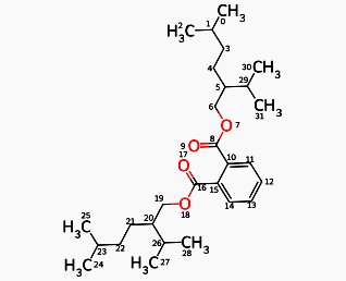 CC(C)CCC(COC(=O)c1ccccc1C(=O)OCC(CCC(C)C)C(C)C)C(C)C